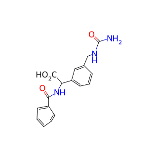 NC(=O)NCc1cccc(C(NC(=O)c2ccccc2)C(=O)O)c1